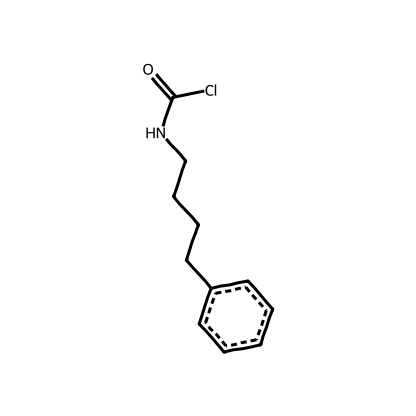 O=C(Cl)NCCCCc1ccccc1